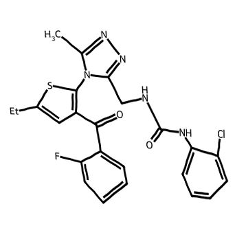 CCc1cc(C(=O)c2ccccc2F)c(-n2c(C)nnc2CNC(=O)Nc2ccccc2Cl)s1